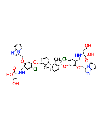 Cc1c(COc2cc(OCc3cnc4ccccn34)c(CNC(CCO)C(=O)O)cc2Cl)cccc1-c1cccc(COc2cc(OCc3cnc4ccccn34)c(CNC(CCO)C(=O)O)cc2Cl)c1C